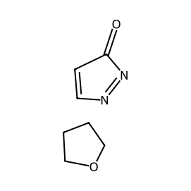 C1CCOC1.O=C1C=CN=N1